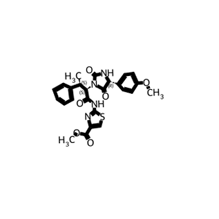 COC(=O)c1csc(NC(=O)[C@H]([C@@H](C)c2ccccc2)N2C(=O)N[C@H](c3ccc(OC)cc3)C2=O)n1